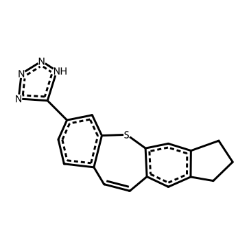 C1=Cc2cc3c(cc2Sc2cc(-c4nnn[nH]4)ccc21)CCC3